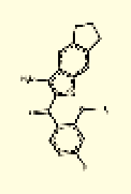 COc1cc(F)ccc1C(=O)c1oc2cc3c(cc2c1N)CCC3